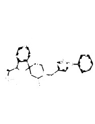 C[C@H]1CC2(CCN1Cc1cnn(-c3ccccc3)c1)OC(C(N)=O)c1ccc(Cl)cc12